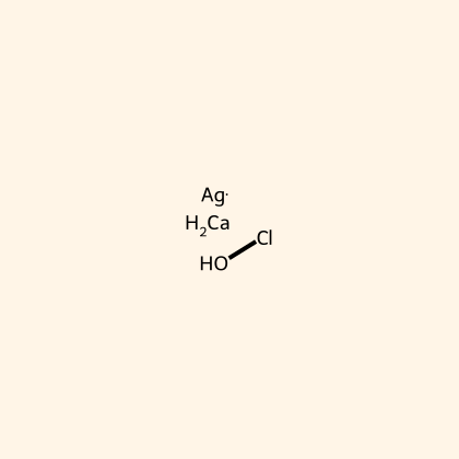 OCl.[Ag].[CaH2]